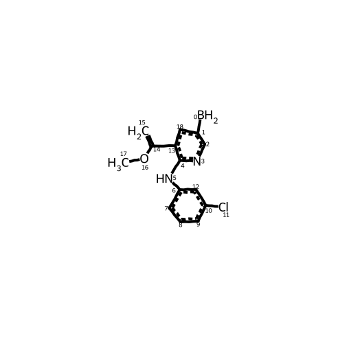 Bc1cnc(Nc2cccc(Cl)c2)c(C(=C)OC)c1